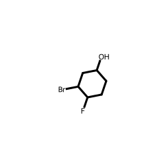 OC1CCC(F)C(Br)C1